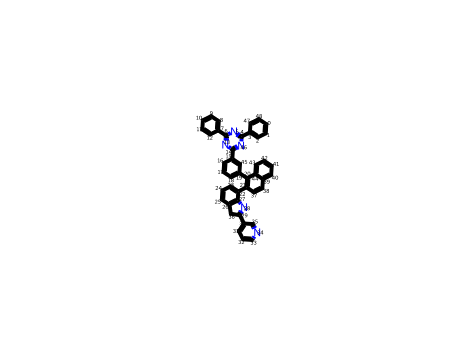 c1ccc(-c2nc(-c3ccccc3)nc(-c3cccc(-c4c(-c5cccc6c5N=C(c5cccnc5)C6)ccc5ccccc45)c3)n2)cc1